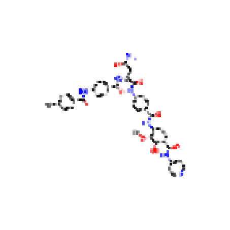 CC(C)Oc1c(NC(=O)c2ccc(NC(=O)[C@H](CC(N)=O)NC(=O)c3ccc(NC(=O)c4ccc(C#N)cc4)cc3)cc2)ccc(C(=O)Nc2ccncc2)c1O